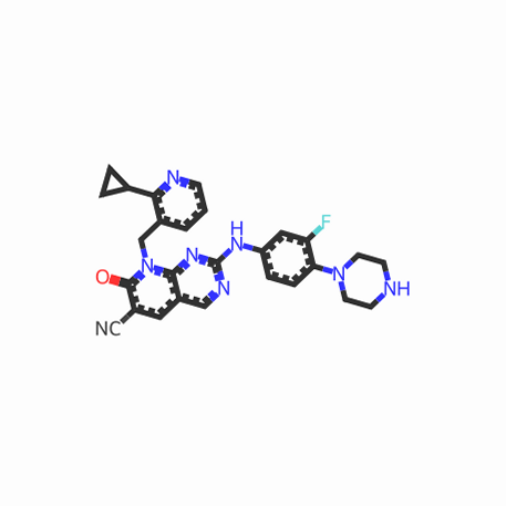 N#Cc1cc2cnc(Nc3ccc(N4CCNCC4)c(F)c3)nc2n(Cc2cccnc2C2CC2)c1=O